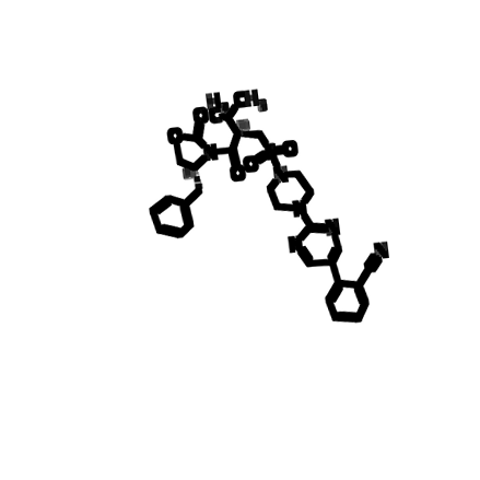 CC(C)[C@@H](CS(=O)(=O)N1CCN(c2ncc(-c3ccccc3C#N)cn2)CC1)C(=O)N1C(=O)OC[C@H]1Cc1ccccc1